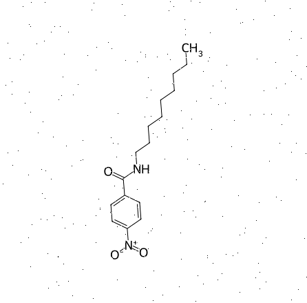 CCCCCCCCCNC(=O)c1ccc([N+](=O)[O-])cc1